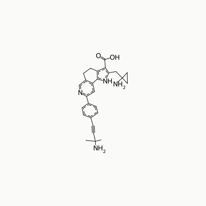 CC(C)(N)C#Cc1ccc(-c2cc3c(cn2)CCc2c-3[nH]c(CC3(N)CC3)c2C(=O)O)cc1